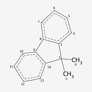 CC1(C)c2ccc[c]c2-c2[c]cccc21